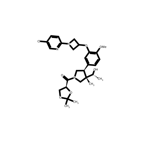 COc1ccc([C@@H]2CN(C(=O)[C@@H]3COC(C)(C)O3)C[C@@]2(C)[C@@H](C)O)cc1OC1CN(c2ccc(Cl)cn2)C1